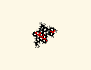 Cc1cc(N(c2cccc(Br)c2)c2c(-c3ccccc3)cc(C(C)(C)C)cc2-c2ccccc2)cc(N(c2cccc(Br)c2)c2c(-c3ccccc3)cc(C(C)(C)C)cc2-c2ccccc2)c1